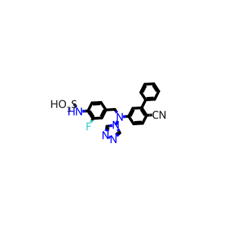 N#Cc1ccc(N(Cc2ccc(NS(=O)(=O)O)c(F)c2)n2cnnc2)cc1-c1ccccc1